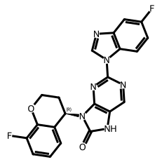 O=c1[nH]c2cnc(-n3cnc4cc(F)ccc43)nc2n1[C@@H]1CCOc2c(F)cccc21